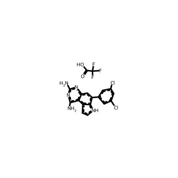 Nc1nc(N)c2c(cc(-c3cc(Cl)cc(Cl)c3)c3[nH]ccc32)n1.O=C(O)C(F)(F)F